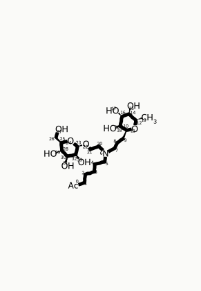 CC(=O)CCCCCN(CCC[C@@H]1O[C@@H](C)[C@@H](O)[C@@H](O)[C@@H]1O)CCO[C@H]1O[C@H](CO)[C@@H](O)[C@H](O)[C@@H]1O